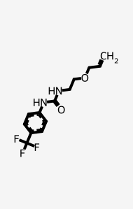 C=CCOCCNC(=O)Nc1ccc(C(F)(F)F)cc1